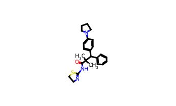 CC(C)(C(=O)NC1=NCCS1)C(c1ccccc1)c1ccc(N2CCCC2)cc1